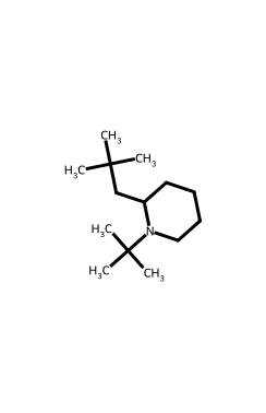 CC(C)(C)CC1CCCCN1C(C)(C)C